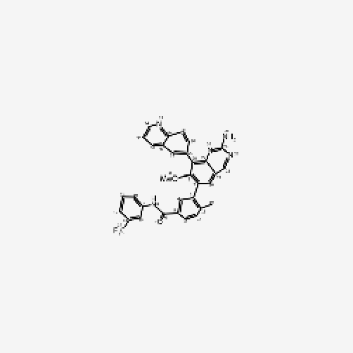 COc1c(-c2cc(C(=O)Nc3cccc(C(F)(F)F)c3)ccc2C)cc2cnc(N)nc2c1-c1ccc2ncccc2c1